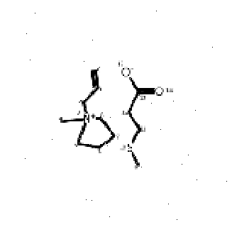 C=CC[N+]1(C)CCCC1.CSCCC(=O)[O-]